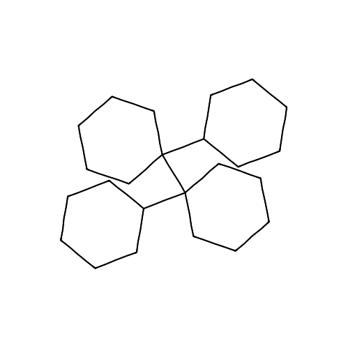 C1CCC(C2(C3(C4CCCCC4)CCCCC3)CCCCC2)CC1